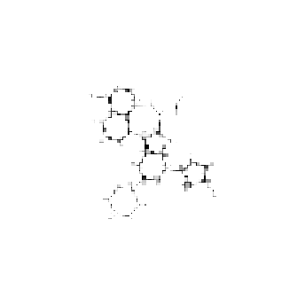 CC[C@H]1Cc2ccc(F)c3nccc(c23)-n2c1nc1c(-c3nnc(C)[nH]3)cc(N3CCOCC3)cc12